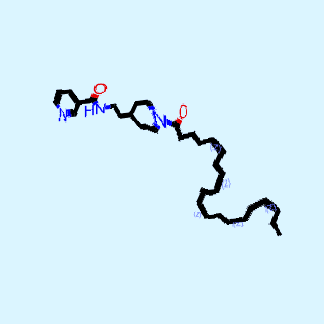 CC/C=C\C/C=C\C/C=C\C/C=C\C/C=C\CCCC(=O)N1CCC(CCNC(=O)c2cccnc2)CC1